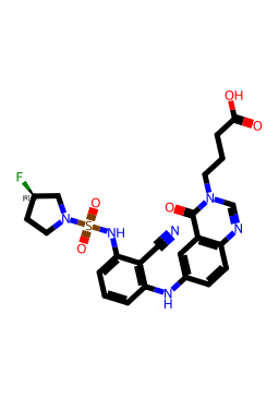 N#Cc1c(Nc2ccc3ncn(CCCC(=O)O)c(=O)c3c2)cccc1NS(=O)(=O)N1CC[C@@H](F)C1